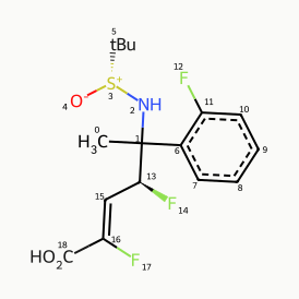 CC(N[S@+]([O-])C(C)(C)C)(c1ccccc1F)[C@@H](F)C=C(F)C(=O)O